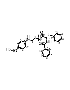 COc1ccc(NCCNC(=O)[C@H](Cc2ccccc2)NC(=O)c2cccnc2)cc1